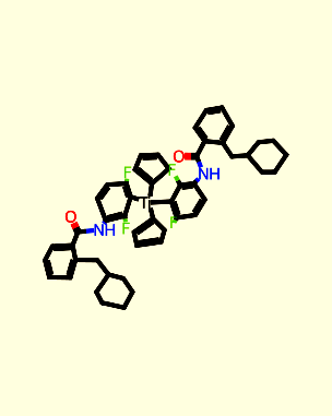 O=C(Nc1ccc(F)[c]([Ti]([C]2=CC=CC2)([C]2=CC=CC2)[c]2c(F)ccc(NC(=O)c3ccccc3CC3CCCCC3)c2F)c1F)c1ccccc1CC1CCCCC1